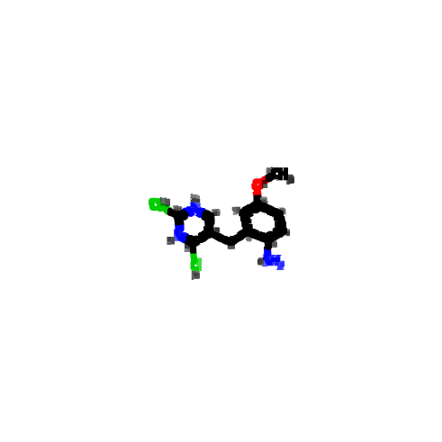 COc1ccc(N)c(Cc2cnc(Cl)nc2Cl)c1